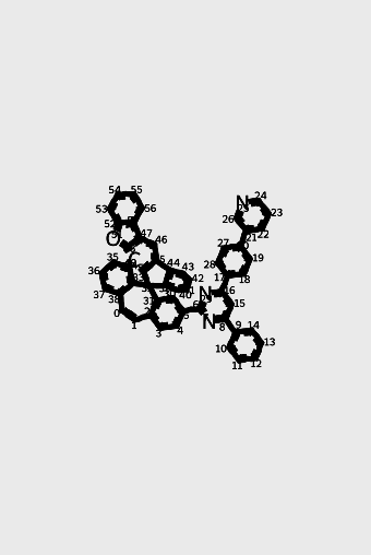 C1=Cc2ccc(-c3nc(-c4ccccc4)cc(-c4ccc(-c5cccnc5)cc4)n3)cc2C2(c3ccccc31)c1ccccc1-c1cc3c(cc12)oc1ccccc13